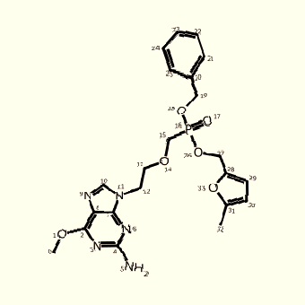 COc1nc(N)nc2c1ncn2CCOCP(=O)(OCc1ccccc1)OCc1ccc(C)o1